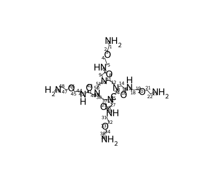 NCCOCCNC(=O)CN1CCN(CC(=O)NCCOCCN)CCN(CC(=O)NCCOCCN)CCN(CC(=O)NCCOCCN)CC1